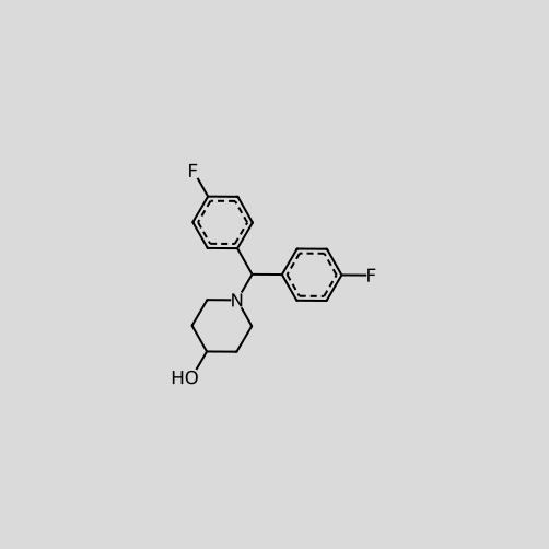 OC1CCN(C(c2ccc(F)cc2)c2ccc(F)cc2)CC1